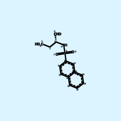 O=[C][C@@H](CC(=O)O)NS(=O)(=O)c1ccc2ccccc2c1